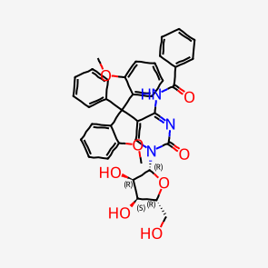 COc1ccccc1C(c1ccccc1)(c1ccccc1OC)c1cn([C@@H]2O[C@H](CO)[C@@H](O)[C@H]2O)c(=O)nc1NC(=O)c1ccccc1